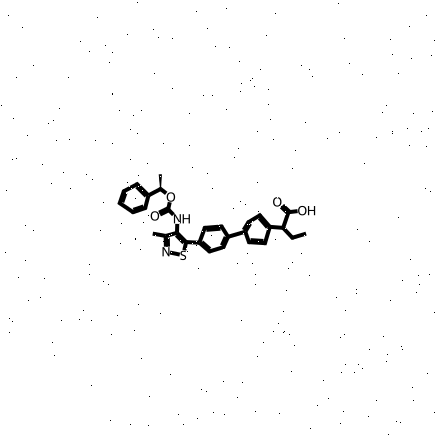 CCC(C(=O)O)c1ccc(-c2ccc(-c3snc(C)c3NC(=O)O[C@H](C)c3ccccc3)cc2)cc1